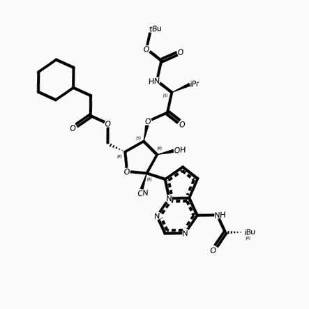 CC[C@@H](C)C(=O)Nc1ncnn2c([C@]3(C#N)O[C@H](COC(=O)CC4CCCCC4)[C@@H](OC(=O)[C@@H](NC(=O)OC(C)(C)C)C(C)C)[C@H]3O)ccc12